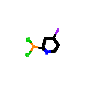 ClP(Cl)c1cc(I)ccn1